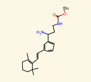 CC1=C(/C=C/c2cccc(C(N)CCNC(=O)OC(C)(C)C)c2)C(C)(C)CCC1